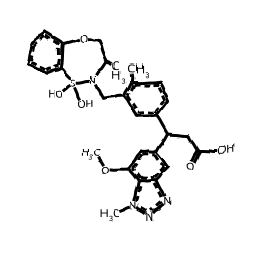 COc1cc(C(CC(=O)O)c2ccc(C)c(CN3C(C)COc4ccccc4S3(O)O)c2)cc2nnn(C)c12